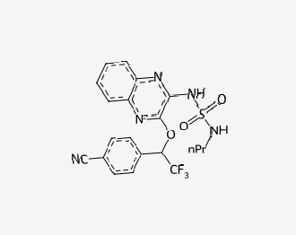 CCCNS(=O)(=O)Nc1nc2ccccc2nc1OC(c1ccc(C#N)cc1)C(F)(F)F